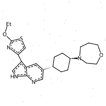 CCOc1nc(-c2c[nH]c3ncc([C@H]4CC[C@H](N5CCCOCC5)CC4)cc23)cs1